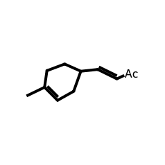 CC(=O)/C=C/C1CC=C(C)CC1